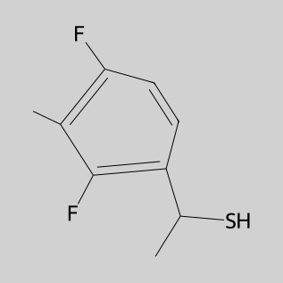 Cc1c(F)ccc(C(C)S)c1F